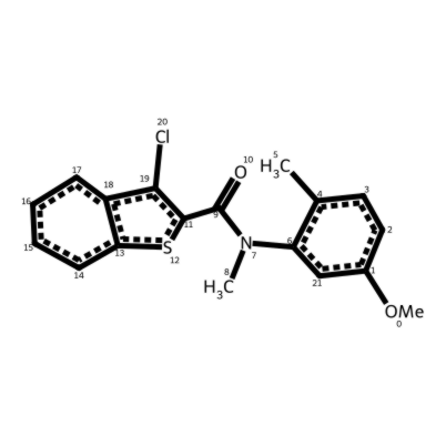 COc1ccc(C)c(N(C)C(=O)c2sc3ccccc3c2Cl)c1